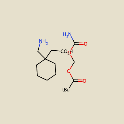 CC(C)(C)C(=O)OCOC(N)=O.NCC1(CC(=O)O)CCCCC1